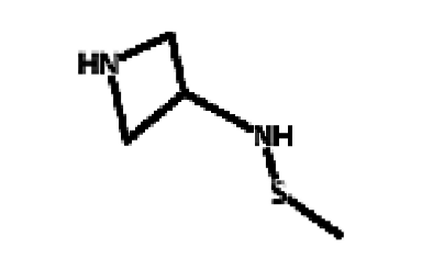 CSNC1CNC1